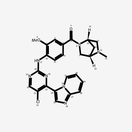 COc1cc(C(=O)N2C[C@@H]3C[C@H]2CN3C)ccc1Nc1ncc(Cl)c(-c2cnc3ccccn23)n1